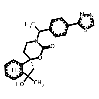 C[C@@H](c1ccc(-c2nncs2)cc1)N1CC[C@](CC(C)(C)O)(c2ccccc2)OC1=O